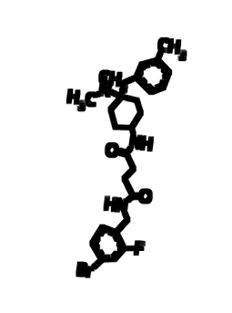 Cc1cccc(CC2(N(C)C)CCC(NC(=O)CCC(=O)NCc3ccc(Br)cc3F)CC2)c1